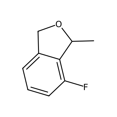 CC1OCc2cccc(F)c21